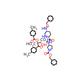 Cc1ccc(C(=O)O[C@](C(=O)O)(C(=O)c2ccc(C)cc2)[C@@H](O)C(=O)O)cc1.O=C(N[C@H]1CCN(C(=O)OCc2ccccc2)C1)[C@@H]1CC[C@@H](NOCc2ccccc2)CN1